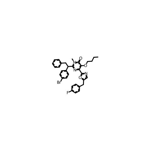 CCCCOc1c(-c2ncc(Cc3ccc(F)cc3)o2)nc(C(Cc2ccccc2)c2ccc(Br)cc2)n(C)c1=O